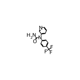 NC(=O)N(c1ccc(C(F)(F)F)cc1)c1cccnc1